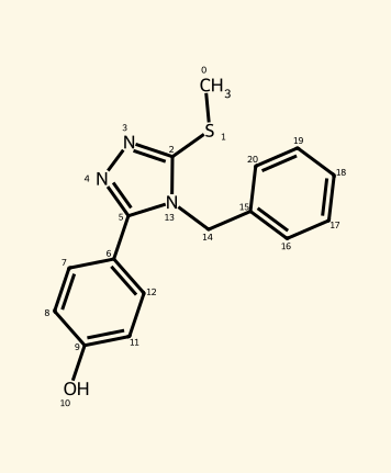 CSc1nnc(-c2ccc(O)cc2)n1Cc1ccccc1